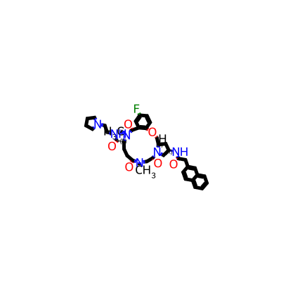 CN1CC(=O)N2C[C@H](NC(=O)Cc3ccc4ccccc4c3)C[C@H]2COc2ccc(F)cc2C(=O)N(C)[C@@H](C(=O)NCCN2CCCC2)CCC1=O